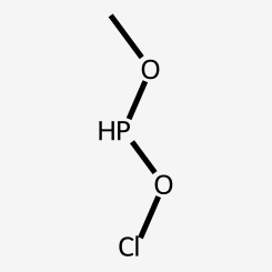 COPOCl